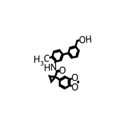 Cc1ccc(-c2cccc(CO)c2)cc1NC(=O)C1(c2ccc3c(c2)OCO3)CC1